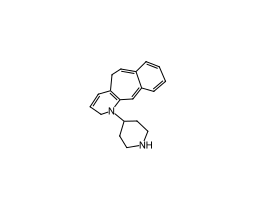 C1=CC2=C(C=c3ccccc3=CC2)N(C2CCNCC2)C1